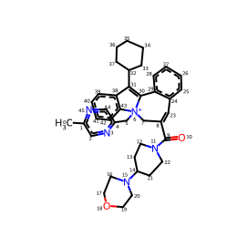 Cc1cnc(C[N+]23CC(C(=O)N4CCC(N5CCOCC5)CC4)=Cc4ccccc4C2=C(C2CCCCC2)c2ccccc23)cn1